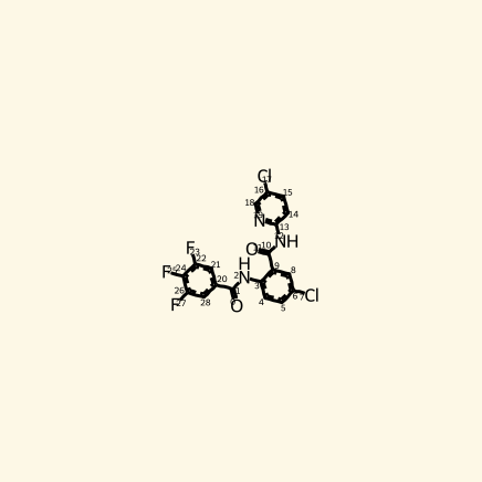 O=C(Nc1ccc(Cl)cc1C(=O)Nc1ccc(Cl)cn1)c1cc(F)c(F)c(F)c1